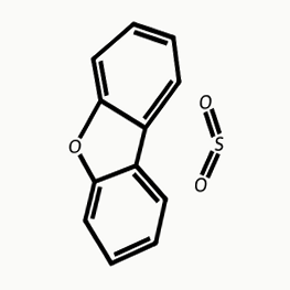 O=S=O.c1ccc2c(c1)oc1ccccc12